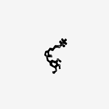 COc1cc(CN2CCC(CCCO[Si](C)(C)C(C)(C)C)C2=O)cc(OC)c1OC